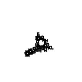 COCC(=O)N[C@H]1CCNC(=O)c2cc(F)ccc2OC[C@@H]2C[C@H](NC(=O)Cc3ccc4ccccc4c3)CN2C1=O